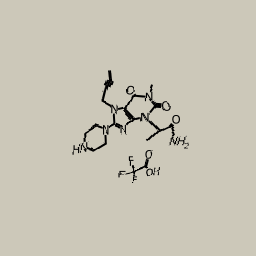 CC#CCn1c(N2CCNCC2)nc2c1c(=O)n(C)c(=O)n2C(C)C(N)=O.O=C(O)C(F)(F)F